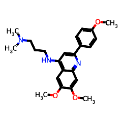 COc1ccc(-c2cc(NCCCN(C)C)c3cc(OC)c(OC)cc3n2)cc1